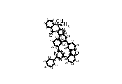 CC1(C)c2ccccc2C(=O)n2c1nc1cc(-c3ccc4oc5cccc(-c6nc(-c7ccccc7)nc(-c7ccccc7)n6)c5c4c3)ccc12